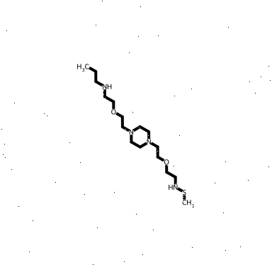 CCCNCCOCCN1CCN(CCOCCNSC)CC1